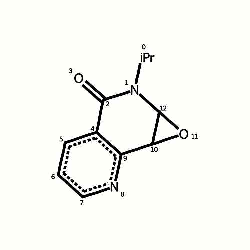 CC(C)N1C(=O)c2cccnc2C2OC21